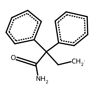 [CH2]CC(C(N)=O)(c1ccccc1)c1ccccc1